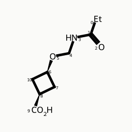 CCC(=O)NCO[C@H]1C[C@@H](C(=O)O)C1